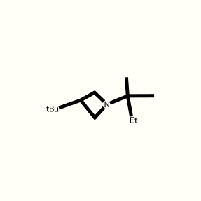 CCC(C)(C)N1CC(C(C)(C)C)C1